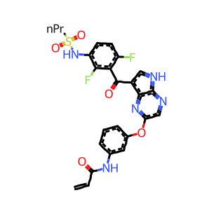 C=CC(=O)Nc1cccc(Oc2cnc3[nH]cc(C(=O)c4c(F)ccc(NS(=O)(=O)CCC)c4F)c3n2)c1